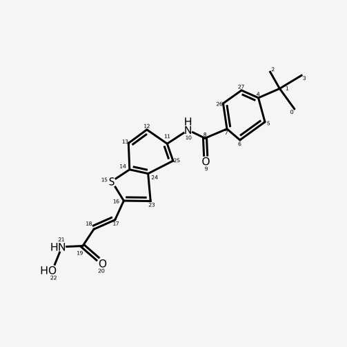 CC(C)(C)c1ccc(C(=O)Nc2ccc3sc(/C=C/C(=O)NO)cc3c2)cc1